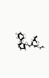 C=CC(=O)OC(COCC)COc1ccccc1-c1ccccc1